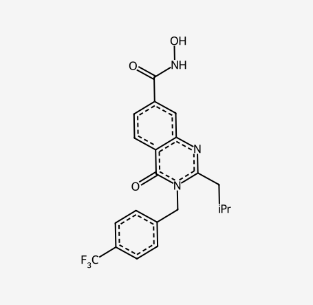 CC(C)Cc1nc2cc(C(=O)NO)ccc2c(=O)n1Cc1ccc(C(F)(F)F)cc1